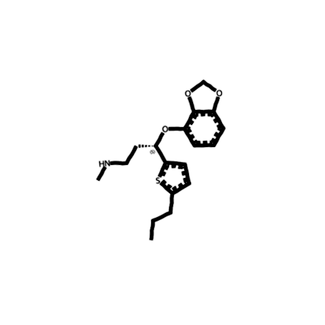 CCCc1ccc([C@H](CCNC)Oc2cccc3c2OCO3)s1